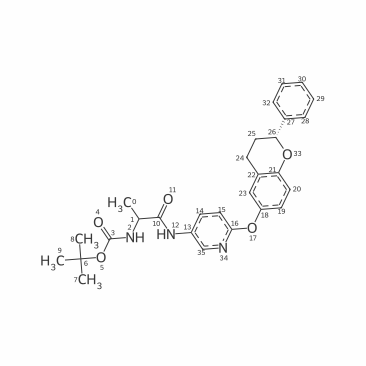 CC(NC(=O)OC(C)(C)C)C(=O)Nc1ccc(Oc2ccc3c(c2)CC[C@H](c2ccccc2)O3)nc1